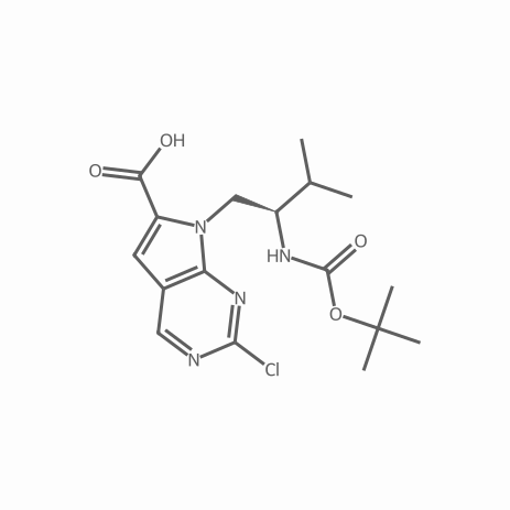 CC(C)[C@H](Cn1c(C(=O)O)cc2cnc(Cl)nc21)NC(=O)OC(C)(C)C